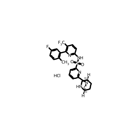 Cc1ccc(F)cc1-c1nc(NS(=O)(=O)c2cccc(N3C[C@@H]4CC[C@H]3CN4)n2)ccc1C(F)(F)F.Cl